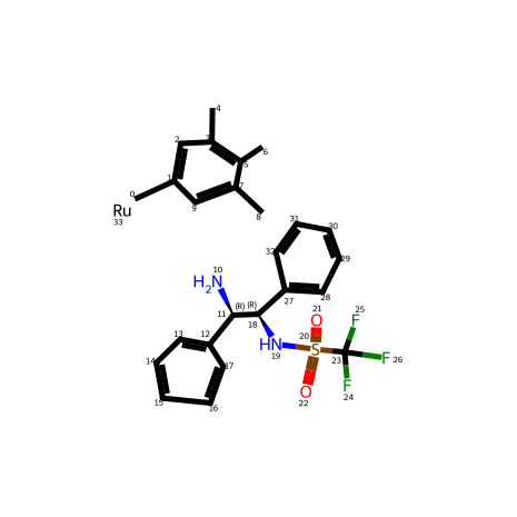 Cc1cc(C)c(C)c(C)c1.N[C@H](c1ccccc1)[C@H](NS(=O)(=O)C(F)(F)F)c1ccccc1.[Ru]